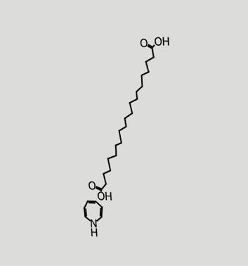 C1=CC=CNC=C1.O=C(O)CCCCCCCCCCCCCCCCCCCC(=O)O